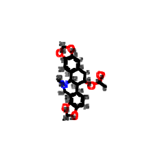 CC(=O)OC1Cc2cc3c(cc2C2C1c1ccc4c(c1CN2C)OCO4)OCO3